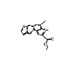 CCOC(=O)C1=S(C)c2c(C)cc3cc4c(cc3c2=C1)=CC=N4